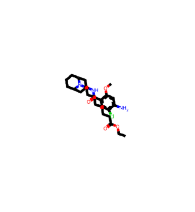 CCOC(=O)CCCCCCCN1C2CCCC1CC(NC(=O)c1cc(Cl)c(N)cc1OC)C2